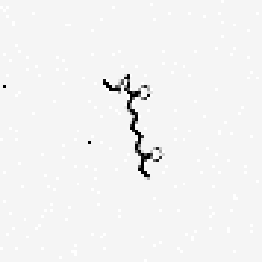 CCC(=O)CCCCCC(=O)N(C)CC